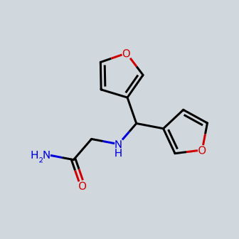 NC(=O)CNC(c1ccoc1)c1ccoc1